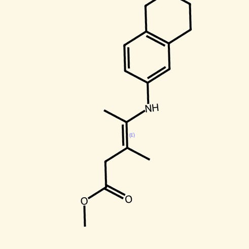 COC(=O)C/C(C)=C(\C)Nc1ccc2c(c1)CCCC2